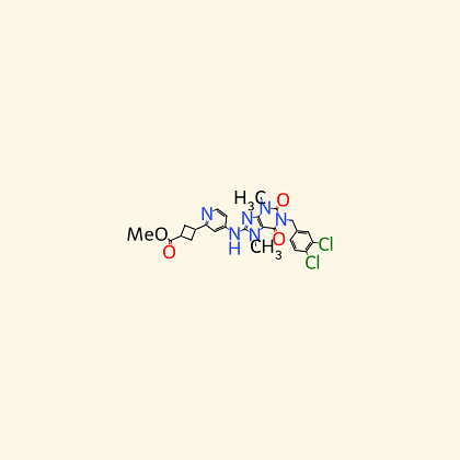 COC(=O)C1CC(c2cc(Nc3nc4c(c(=O)n(Cc5ccc(Cl)c(Cl)c5)c(=O)n4C)n3C)ccn2)C1